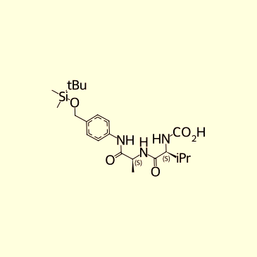 CC(C)[C@H](NC(=O)O)C(=O)N[C@@H](C)C(=O)Nc1ccc(CO[Si](C)(C)C(C)(C)C)cc1